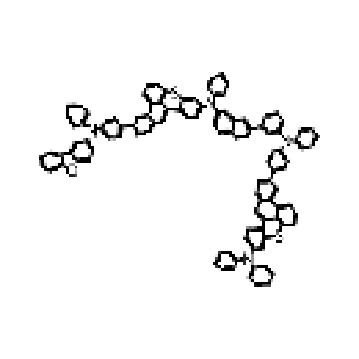 c1ccc(N(c2ccc(-c3ccc4cc5c6c(cccc6c4c3)Sc3cc(N(c4ccccc4)c4ccccc4)ccc3-5)cc2)c2cccc(-c3ccc4ccc(N(c5ccccc5)c5ccc6c(c5)Sc5cccc7c5c-6cc5ccc(-c6ccc(N(c8ccccc8)c8ccc9oc%10ccccc%10c9c8)cc6)cc57)cc4c3)c2)cc1